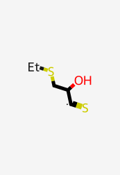 CCSCC(O)[C]=S